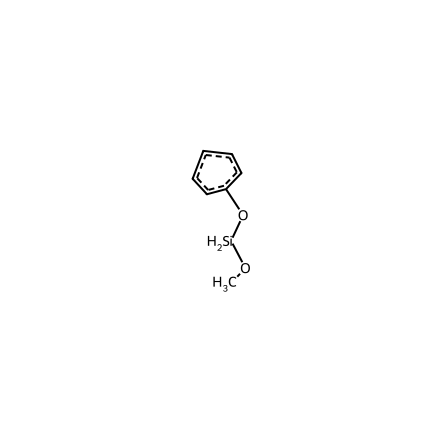 CO[SiH2]Oc1ccccc1